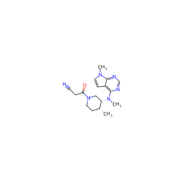 C[C@@H]1CCN(C(=O)CC#N)C[C@@H]1N(C)c1ncnc2c1ccn2C